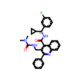 CN(C)C(=O)NCc1c(-c2ccccc2)nc2ccccc2c1C(=O)N[C@H](c1cccc(F)c1)C1CC1